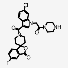 O=C1OC2(CCN(C(=O)c3cn(CC(=O)N4CCNCC4)c4cc(Cl)ccc34)CC2)c2ccc(F)cc21